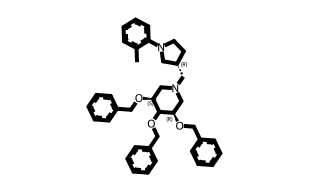 Cc1ccccc1N1CC[C@H](CN2C[C@H](OCc3ccccc3)C(OCc3ccccc3)[C@H](OCc3ccccc3)C2)C1